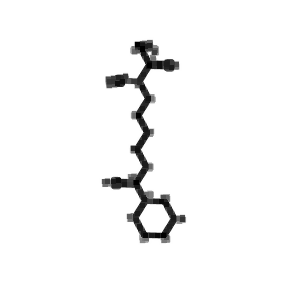 NC(=O)C(O)CCCCCC(=O)C1CCCCC1